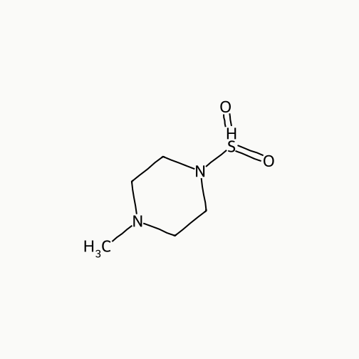 CN1CCN([SH](=O)=O)CC1